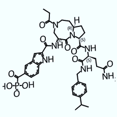 CCC(=O)N1CC[C@H]2CC[C@@H](C(=O)N[C@@H](CCC(N)=O)C(=O)NCc3ccc(C(C)C)cc3)N2C(=O)[C@@H](NC(=O)c2cc3cc(C(=O)P(=O)(O)O)ccc3[nH]2)C1